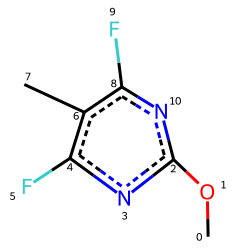 COc1nc(F)c(C)c(F)n1